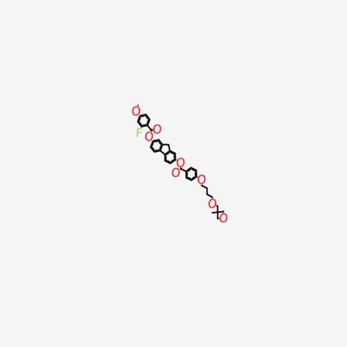 COc1ccc(C(=O)Oc2ccc3c(c2)Cc2cc(OC(=O)c4ccc(OCCCCOCC5(C)COC5)cc4)ccc2-3)c(F)c1